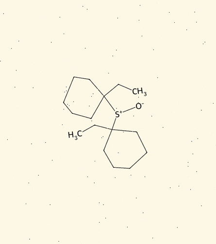 CCC1([S+]([O-])C2(CC)CCCCC2)CCCCC1